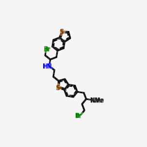 CNC(CCBr)Cc1ccc2sc(CCNC(CBr)Cc3ccc4sccc4c3)cc2c1